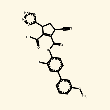 COc1cccc(-c2ccc(NC(=O)C3=C(C(=O)O)C(c4nn[nH]n4)CC3C#N)c(F)c2)c1